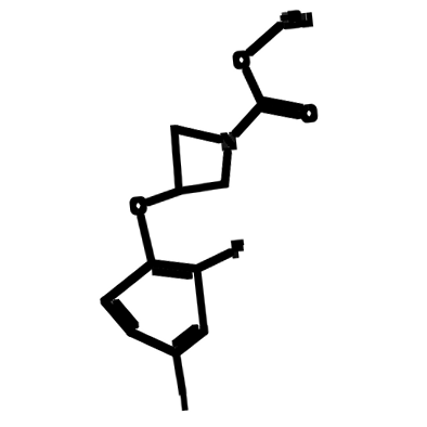 CC(C)(C)OC(=O)N1CC(Oc2ccc(I)cc2F)C1